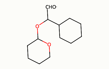 O=[C]C(OC1CCCCO1)C1CCCCC1